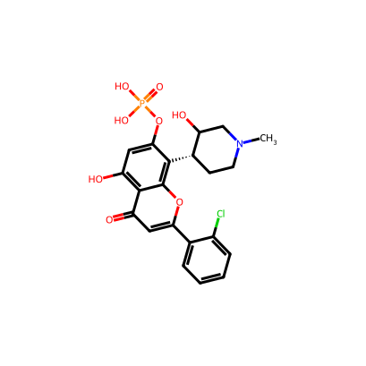 CN1CC[C@H](c2c(OP(=O)(O)O)cc(O)c3c(=O)cc(-c4ccccc4Cl)oc23)C(O)C1